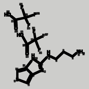 NCCCNc1nc2cscc2[nH]1.O=C(O)C(F)(F)F.O=C(O)C(F)(F)F